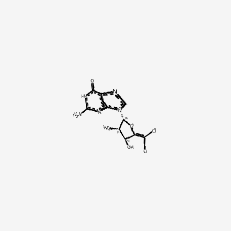 Nc1nc2c(ncn2[C@@H]2OC(=C(Cl)Cl)[C@@H](O)[C@H]2O)c(=O)[nH]1